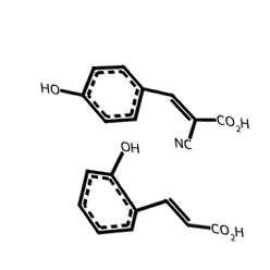 N#C/C(=C\c1ccc(O)cc1)C(=O)O.O=C(O)/C=C/c1ccccc1O